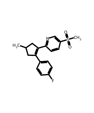 CC1CC(c2ccc(F)cc2)=C(c2ccc(S(C)(=O)=O)cn2)C1